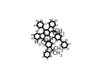 CC1(C)c2ccccc2-c2ccc(N(c3cccc(-c4ccccc4)c3)c3c4c(c(-c5ccccc5)c5c3C(C)(C)c3ccccc3-5)-c3ccccc3C4(C)C)cc21